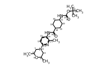 Cc1nc(N2CC(C)OC(C)C2)ccc1NC(=O)C1CCC(NC(=O)OC(C)(C)C)CC1